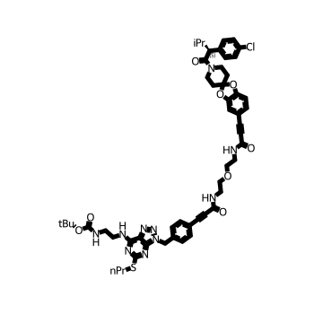 CCCSc1nc(NCCNC(=O)OC(C)(C)C)c2nnn(Cc3ccc(C#CC(=O)NCCOCCNC(=O)C#Cc4ccc5c(c4)OC4(CCN(C(=O)[C@H](c6ccc(Cl)cc6)C(C)C)CC4)O5)cc3)c2n1